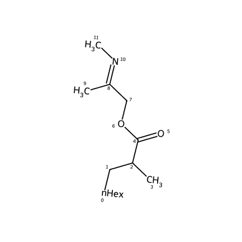 CCCCCCCC(C)C(=O)OC/C(C)=N/C